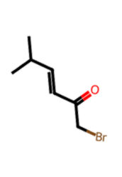 CC(C)C=CC(=O)CBr